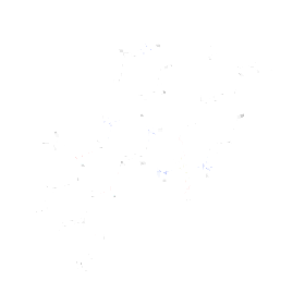 COc1ccccc1Oc1c(NS(=O)(=O)Nc2ccc(C(C)C)cc2)nc(-c2ccncc2)nc1OC